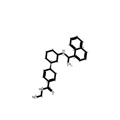 CC(NC1CCC[C@H](C2C=CC(C(=O)NCC#N)=CC2)C1)c1cccc2ccccc12